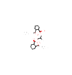 COC(=O)C1CCCCC1C(=O)OCC(C)COC(=O)C1CCCCC1C(=O)OC